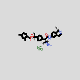 Cl.Cl.[2H]c1nccc2cc(NC(=O)[C@@H](c3ccc(C([2H])([2H])OC(=O)c4ccc(C)cc4C)cc3)C([2H])([2H])N)ccc12